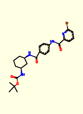 CC(C)(C)OC(=O)N[C@H]1CCC[C@@H](NC(=O)c2ccc(NC(=O)c3cccc(Br)n3)cc2)C1